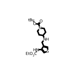 CCOC(=O)Nc1cscc1CNC1CCN(C(=O)OC(C)(C)C)CC1